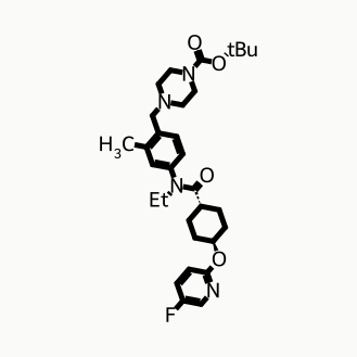 CCN(c1ccc(CN2CCN(C(=O)OC(C)(C)C)CC2)c(C)c1)C(=O)[C@H]1CC[C@H](Oc2ccc(F)cn2)CC1